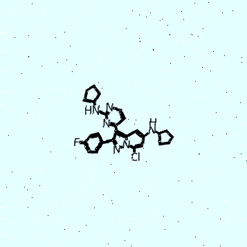 Fc1ccc(-c2nn3c(Cl)cc(NC4CCCC4)cc3c2-c2ccnc(NC3CCCC3)n2)cc1